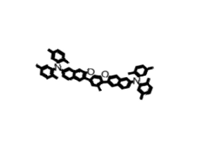 Cc1ccc(C)c(N(c2ccc3cc4c(cc3c2)oc2c4cc(C)c3c4cc5ccc(N(c6cc(C)ccc6C)c6cc(C)ccc6C)cc5cc4oc23)c2cc(C)ccc2C)c1